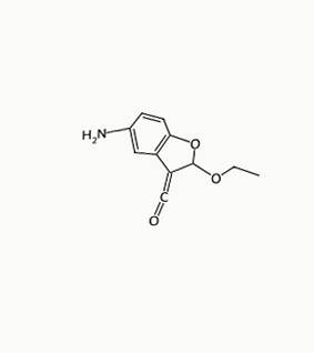 CCOC1Oc2ccc(N)cc2C1=C=O